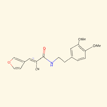 COc1ccc(CCNC(=O)/C(C#N)=C/c2ccoc2)cc1OC